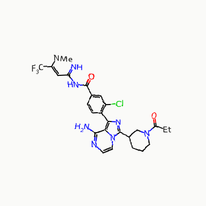 CCC(=O)N1CCCC(c2nc(-c3ccc(C(=O)NC(=N)/C=C(\NC)C(F)(F)F)cc3Cl)c3c(N)nccn23)C1